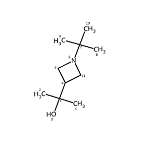 CC(C)(O)C1CN(C(C)(C)C)C1